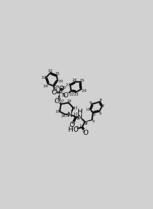 O=C(O)[C@H](Cc1ccccc1)NC(=O)N1CCC(OP(=O)(Oc2ccccc2)Oc2ccccc2)CC1